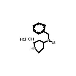 CCN(Cc1ccccc1)C1CCNCC1.Cl.Cl